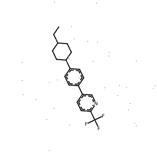 CCC1CCC(c2ccc(-c3ccc(C(F)(F)F)nc3)cc2)CC1